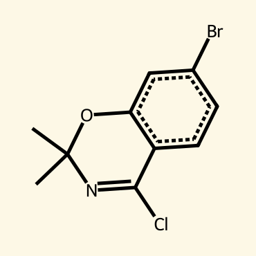 CC1(C)N=C(Cl)c2ccc(Br)cc2O1